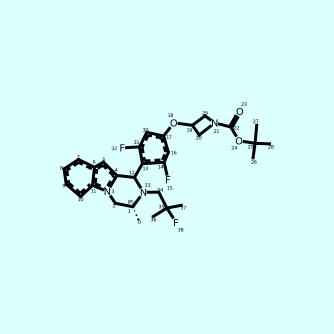 C[C@@H]1Cn2c(cc3ccccc32)C(c2c(F)cc(OC3CN(C(=O)OC(C)(C)C)C3)cc2F)N1CC(C)(C)F